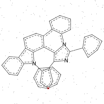 c1ccc(-c2nc(-c3ccccc3)n3c4ccccc4c4ccc5c6ccccc6n(-c6ccccc6)c5c4c23)cc1